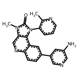 Cc1ncccc1-n1c(=O)n(C)c2cnc3ccc(-c4cncc(N)c4)cc3c21